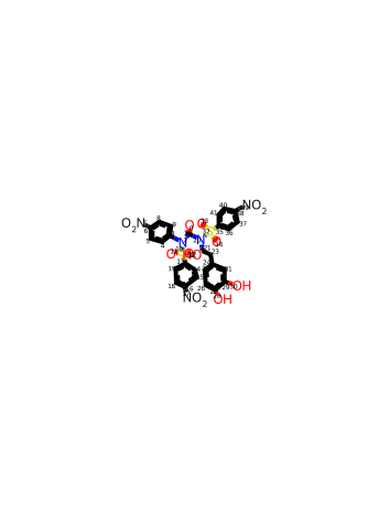 O=C(N(c1ccc([N+](=O)[O-])cc1)S(=O)(=O)c1ccc([N+](=O)[O-])cc1)N(C(O)Cc1ccc(O)c(O)c1)S(=O)(=O)c1ccc([N+](=O)[O-])cc1